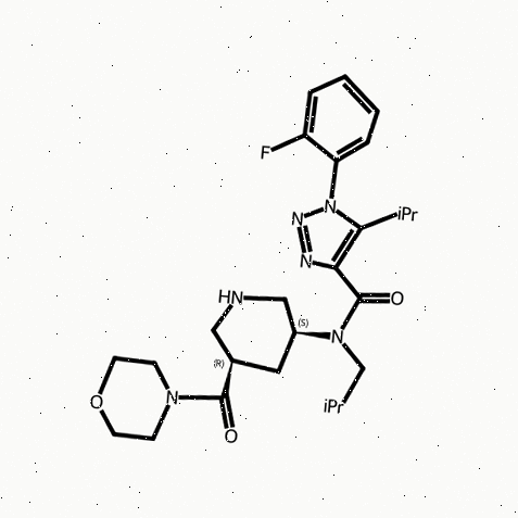 CC(C)CN(C(=O)c1nnn(-c2ccccc2F)c1C(C)C)[C@@H]1CNC[C@H](C(=O)N2CCOCC2)C1